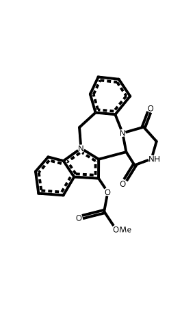 COC(=O)Oc1c2n(c3ccccc13)Cc1ccccc1N1C(=O)CNC(=O)C21